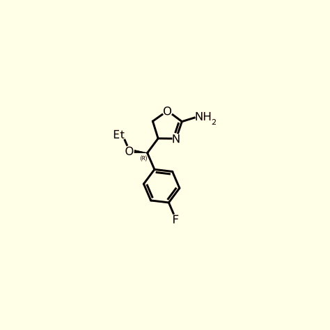 CCO[C@H](c1ccc(F)cc1)C1COC(N)=N1